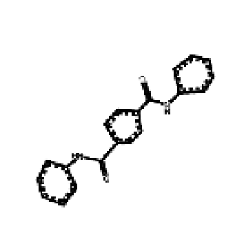 O=C(Nc1ccccc1)c1ccc(C(=O)Nc2ccccc2)cc1